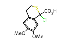 COc1cc2c(cc1OC)C(Cl)(C(=O)O)SCC2